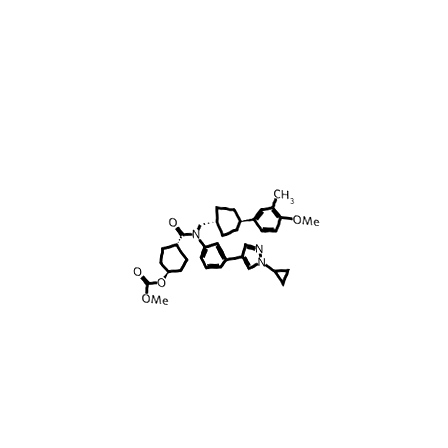 COC(=O)O[C@H]1CC[C@H](C(=O)N(C[C@H]2CC[C@H](c3ccc(OC)c(C)c3)CC2)c2cccc(-c3cnn(C4CC4)c3)c2)CC1